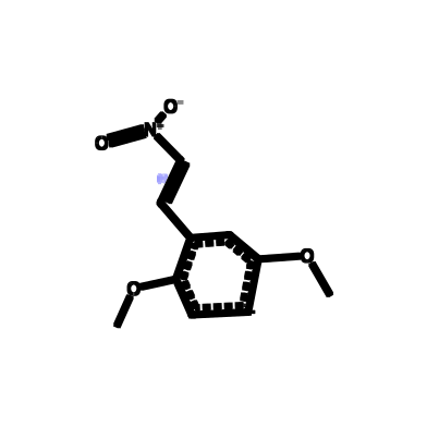 COc1[c]cc(OC)c(/C=C/[N+](=O)[O-])c1